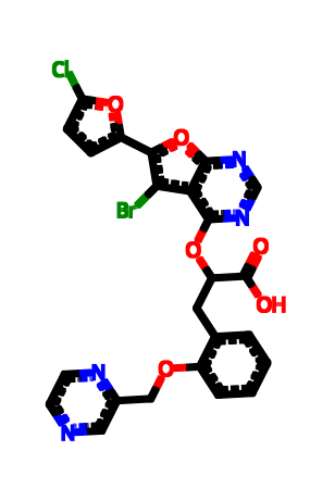 O=C(O)C(Cc1ccccc1OCc1cnccn1)Oc1ncnc2oc(-c3ccc(Cl)o3)c(Br)c12